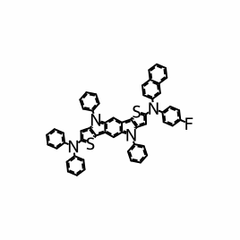 Fc1ccc(N(c2ccc3ccccc3c2)c2cc3c(s2)c2cc4c(cc2n3-c2ccccc2)c2sc(N(c3ccccc3)c3ccccc3)cc2n4-c2ccccc2)cc1